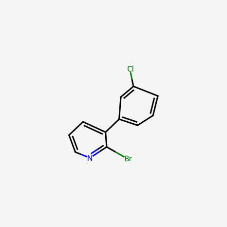 Clc1cccc(-c2cccnc2Br)c1